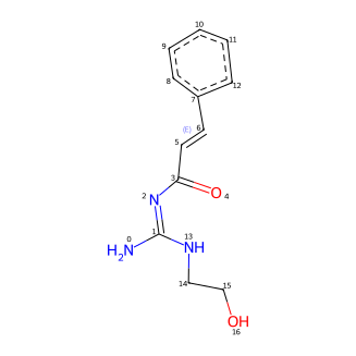 NC(=NC(=O)/C=C/c1ccccc1)NCCO